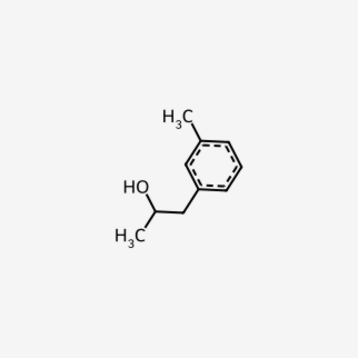 Cc1cccc(CC(C)O)c1